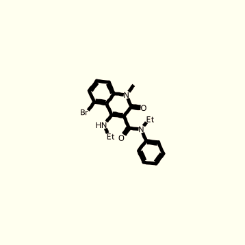 CCNc1c(C(=O)N(CC)c2ccccc2)c(=O)n(C)c2cccc(Br)c12